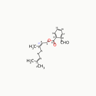 CC(C)=CCC/C(C)=C\COC(=O)c1ccccc1C=O